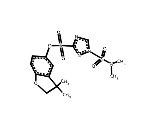 CN(C)S(=O)(=O)n1cnc(S(=O)(=O)Oc2ccc3c(c2)C(C)(C)CO3)n1